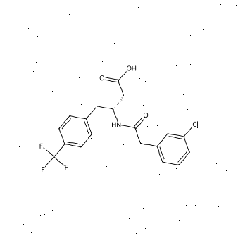 O=C(O)C[C@@H](Cc1ccc(C(F)(F)F)cc1)NC(=O)Cc1cccc(Cl)c1